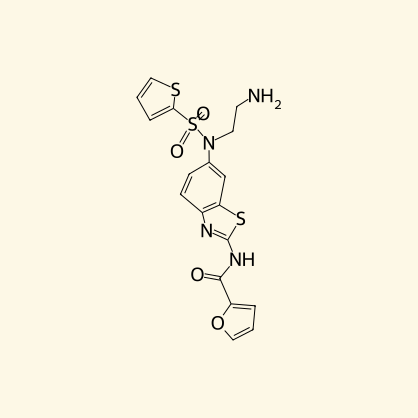 NCCN(c1ccc2nc(NC(=O)c3ccco3)sc2c1)S(=O)(=O)c1cccs1